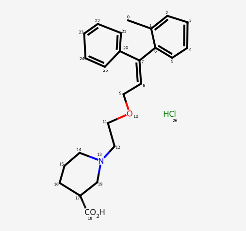 Cc1ccccc1C(=CCOCCN1CCCC(C(=O)O)C1)c1ccccc1.Cl